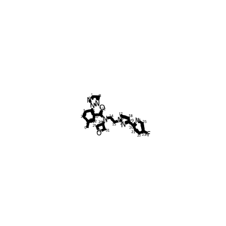 Cc1ccc(-n2nccn2)c(C(=O)N(CCn2ccc(-c3ccc(F)cn3)n2)C2COC2)c1